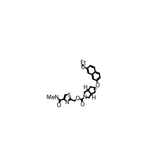 CCOc1ccc2ccc(O[C@@H]3C[C@@H]4CN(C(=O)OCc5nc(C(=O)NC)cs5)C[C@@H]4C3)cc2c1